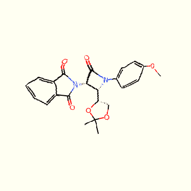 COc1ccc(N2C(=O)[C@@H](N3C(=O)c4ccccc4C3=O)[C@H]2[C@@H]2COC(C)(C)O2)cc1